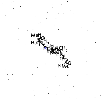 CNC(=O)COC=CCOC(C)(C)Cc1cn(C/C(C)=C/COC(C)(C)CC(=O)NC)nn1